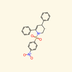 O=[N+]([O-])c1ccc(S(=O)(=O)N2C[CH]C(c3ccccc3)C=C2c2ccccc2)cc1